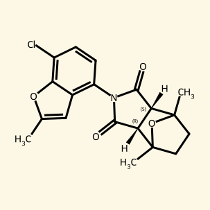 Cc1cc2c(N3C(=O)[C@@H]4[C@H](C3=O)C3(C)CCC4(C)O3)ccc(Cl)c2o1